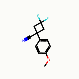 COc1ccc(C2(C#N)CC(F)(F)C2)cc1